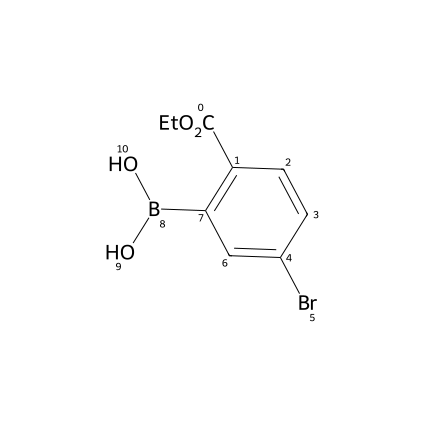 CCOC(=O)c1ccc(Br)cc1B(O)O